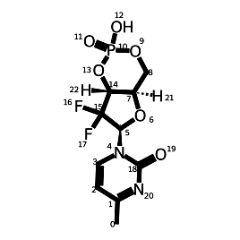 Cc1ccn([C@@H]2O[C@@H]3COP(=O)(O)O[C@H]3C2(F)F)c(=O)n1